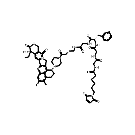 CC[C@@]1(O)C(=O)OCc2c1cc1n(c2=O)Cc2c-1nc1cc(F)c(C)c3c1c2[C@@H](N1CCN(C(=O)COCNC(=O)CNC(=O)[C@H](Cc2ccccc2)NC(=O)CNC(=O)CNC(=O)CCCCCN2C(=O)C=CC2=O)CC1)CC3